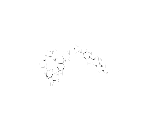 CN1CCN([C@@H]2CCCN(c3nnc(C(N)=O)c(Nc4ccc(N5CCN(CC6CCN(c7ccc(C(=O)NC8CCC(=O)NC8=O)nc7)C6)CC5)c(F)c4)n3)C2)C1=O